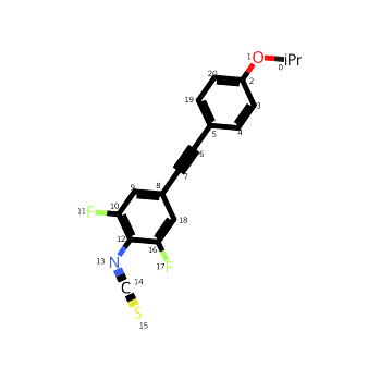 CC(C)Oc1ccc(C#Cc2cc(F)c(N=C=S)c(F)c2)cc1